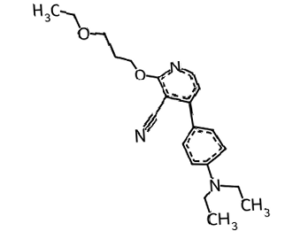 CCOCCCOc1nccc(-c2ccc(N(CC)CC)cc2)c1C#N